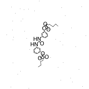 CCCCS(=O)(=O)Oc1cccc(NC(=O)Nc2cccc(OS(=O)(=O)CCCC)c2)c1